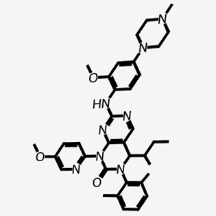 CCC(C)C1c2cnc(Nc3ccc(N4CCN(C)CC4)cc3OC)nc2N(c2ccc(OC)cn2)C(=O)N1c1c(C)cccc1C